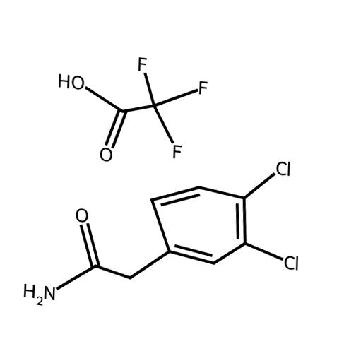 NC(=O)Cc1ccc(Cl)c(Cl)c1.O=C(O)C(F)(F)F